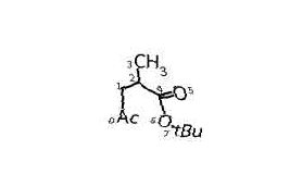 CC(=O)CC(C)C(=O)OC(C)(C)C